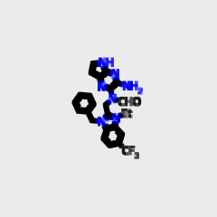 CCn1c(CN(C=O)c2nc3cc[nH]c3nc2N)[n+](Cc2ccccc2)c2ccc(C(F)(F)F)cc21